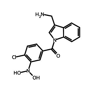 NCc1cn(C(=O)c2ccc(Cl)c(N(O)O)c2)c2ccccc12